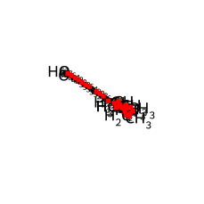 C=C(C)[C@@H]1CC[C@]2(C)CC[C@]3(C)[C@H](CC[C@@H]4[C@@]5(C)CCC(O)(CCCCCCCCCCCCCCCCCCCCCCCCCCCC(=O)O)C(C)(C)[C@@H]5CC[C@]43C)[C@@H]12